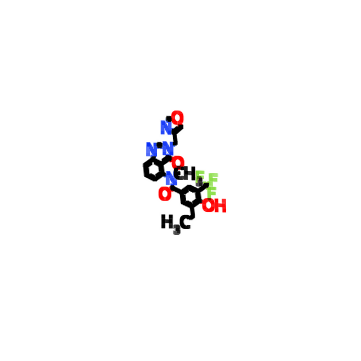 CCc1cc(C(=O)N(C)c2cccc3ncn(Cc4cocn4)c(=O)c23)cc(C(F)(F)F)c1O